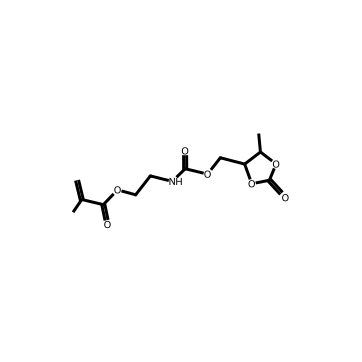 C=C(C)C(=O)OCCNC(=O)OCC1OC(=O)OC1C